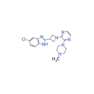 CN1CCN(c2nccnc2N2CC(c3nc4cc(Cl)ccc4[nH]3)C2)CC1